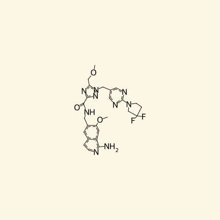 COCc1nc(C(=O)NCc2cc3ccnc(N)c3cc2OC)nn1Cc1cnc(N2CCC(F)(F)C2)nc1